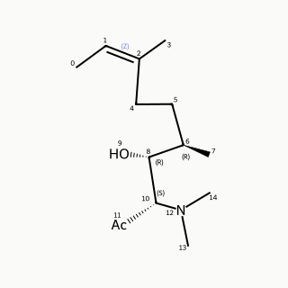 C/C=C(/C)CC[C@@H](C)[C@@H](O)[C@@H](C(C)=O)N(C)C